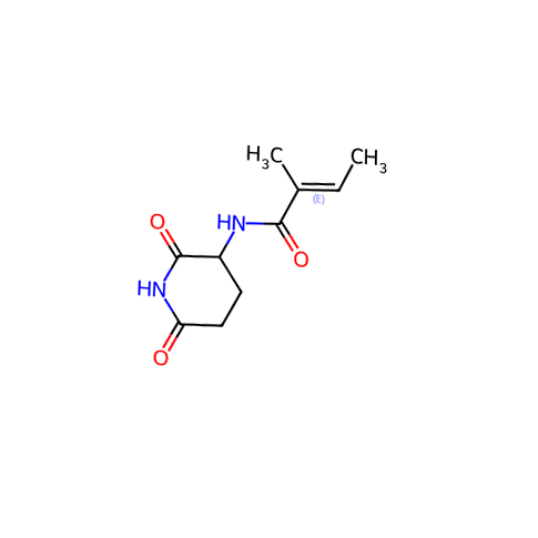 C/C=C(\C)C(=O)NC1CCC(=O)NC1=O